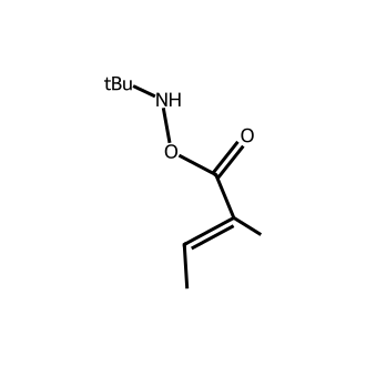 CC=C(C)C(=O)ONC(C)(C)C